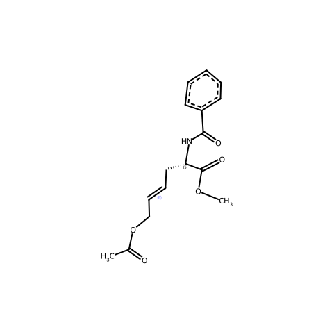 COC(=O)[C@H](C/C=C/COC(C)=O)NC(=O)c1ccccc1